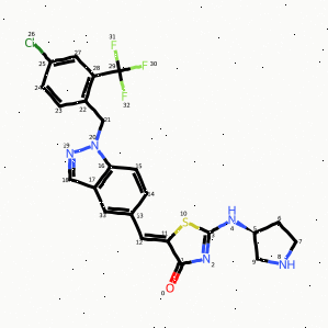 O=C1N=C(N[C@H]2CCNC2)S/C1=C\c1ccc2c(cnn2Cc2ccc(Cl)cc2C(F)(F)F)c1